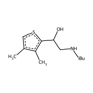 CCC(C)NCC(O)c1scc(C)c1C